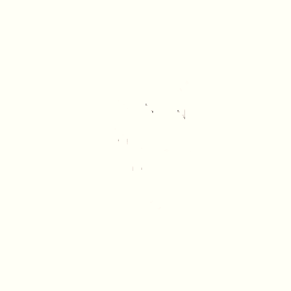 Cc1ccc2c(Cl)c(-c3nc4ccccc4n3-c3ccccc3)c(=O)oc2c1